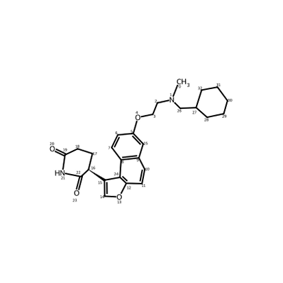 CN(CCOc1ccc2c(ccc3occ([C@@H]4CCC(=O)NC4=O)c32)c1)CC1CCCCC1